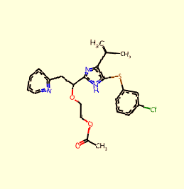 CC(=O)OCCOC(Cc1ccccn1)c1nc(C(C)C)c(Sc2cccc(Cl)c2)[nH]1